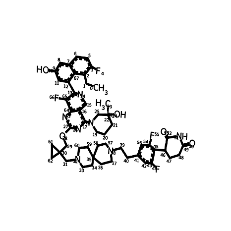 CCc1c(F)ccc2cc(O)cc(-c3ncc4c(N5CCC[C@@](C)(O)C5)nc(OCC5(CN6CCC7(CCN(CCc8cc(F)c(C9CCC(=O)NC9=O)c(F)c8)CC7)CC6)CC5)nc4c3F)c12